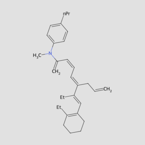 C=CCC(=C\C=C/C(=C)N(C)c1ccc(CCC)cc1)/C(=C/C1=C(CC)CCCC1)CC